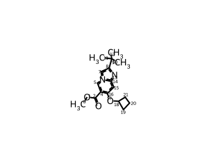 COC(=O)c1cn2cc(C(C)(C)C)nc2cc1OC1CCC1